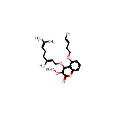 CCC=CCCOc1cccc2oc(=O)c(OCCCCCCCCCC)c(OC/C=C(\C)CCC=C(C)C)c12